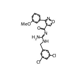 COc1cccc(-c2nocc2C(=O)/N=C(\N)NCc2cc(Cl)cc(Cl)c2)c1